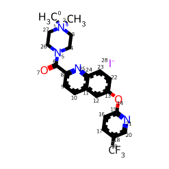 C[N+]1(C)CCN(C(=O)c2ccc3cc(Oc4ccc(C(F)(F)F)cn4)ccc3n2)CC1.[I-]